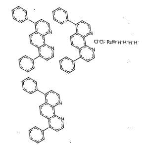 [Cl-].[Cl-].[H-].[H-].[H-].[H-].[H-].[Ru+7].c1ccc(-c2ccnc3c2ccc2c(-c4ccccc4)ccnc23)cc1.c1ccc(-c2ccnc3c2ccc2c(-c4ccccc4)ccnc23)cc1.c1ccc(-c2ccnc3c2ccc2c(-c4ccccc4)ccnc23)cc1